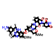 CNC(=O)CC(CC1(COc2cc3c(N[C@H](C)c4cc(N)cc(C(F)(F)F)c4)nc(C)nc3cc2OC)CC1)N1CCN(c2cccc3c2C(=O)N(C2CCC(=O)NC2=O)C3=O)CC1